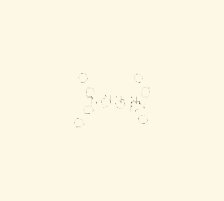 c1ccc(-c2ccc(N(c3ccc(-c4ccccc4)cc3)c3ccc(-c4ccc(-c5nc(-c6ccccc6)nc(-c6cccc(-c7ccccc7)c6)n5)cn4)nc3)cc2)cc1